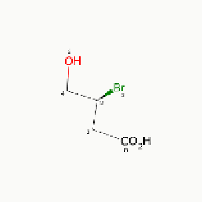 O=C(O)C[C@H](Br)CO